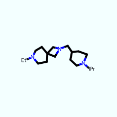 CCN1CCC2(CC1)CN(CC1CCN(C(C)C)CC1)C2